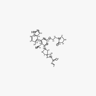 C=CC(=O)N1CC2(CCN(c3nc(OCCN4CCCC4=O)nc(-c4c(C)ccc5[nH]ncc45)c3C#N)C2)C1